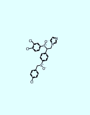 [O-][S+](Cc1ccc(Cl)cc1)c1ccc(C(Cn2ccnc2)[S+]([O-])c2ccc(Cl)c(Cl)c2)cc1